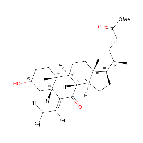 [2H]C(=C1C(=O)[C@@H]2[C@H](CC[C@]3(C)[C@@H]([C@H](C)CCC(=O)OC)CC[C@@H]23)[C@@]2(C)CC[C@@H](O)C[C@@H]12)C([2H])[2H]